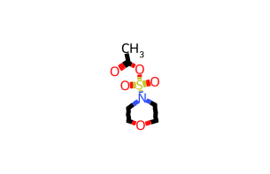 CC(=O)OS(=O)(=O)N1CCOCC1